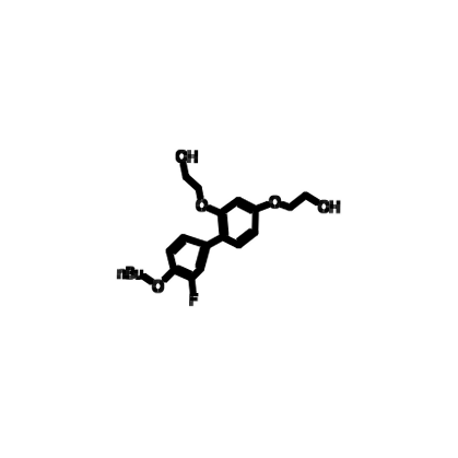 CCCCOc1ccc(-c2ccc(OCCO)cc2OCCO)cc1F